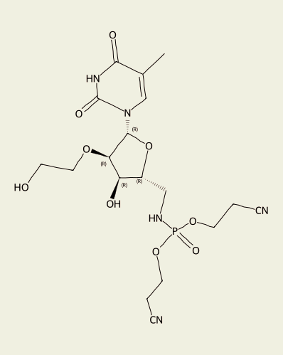 Cc1cn([C@@H]2O[C@H](CNP(=O)(OCCC#N)OCCC#N)[C@@H](O)[C@H]2OCCO)c(=O)[nH]c1=O